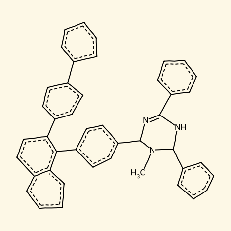 CN1C(c2ccc(-c3c(-c4ccc(-c5ccccc5)cc4)ccc4ccccc34)cc2)N=C(c2ccccc2)NC1c1ccccc1